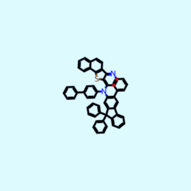 c1ccc(-c2ccc(N(c3cc4c(cc3-c3ccccc3)-c3ccccc3C4(c3ccccc3)c3ccccc3)c3ccnc4c3sc3c5ccccc5ccc43)cc2)cc1